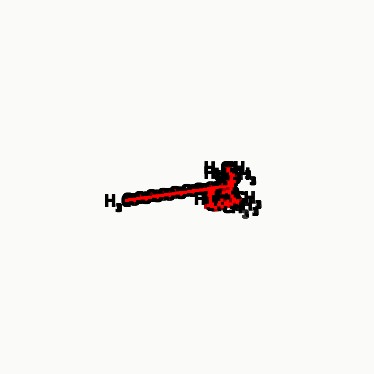 COCCOCCOCCOCCOCCOCCOCCOCCOCCOCCOCCOCCOCCOCCOCCOCCOCCCc1cc(NC(=O)[C@H](C)NC(=O)[C@@H](N)C(C)C)ccc1COC(=O)N(CCOC12CC3(C)CC(C)(CC(Cn4ncc(-c5ccc(N6CCc7cccc(C(=O)Nc8nc9ccccc9s8)c7C6)nc5C(=O)O)c4C)(C3)C1)C2)CCS(=O)(=O)O